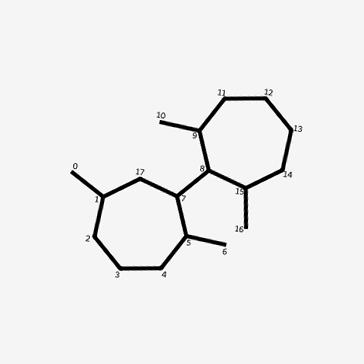 CC1CCCC(C)C(C2C(C)CCCCC2C)C1